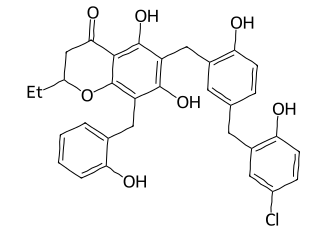 CCC1CC(=O)c2c(O)c(Cc3cc(Cc4cc(Cl)ccc4O)ccc3O)c(O)c(Cc3ccccc3O)c2O1